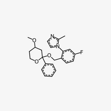 COC1CCOC(OCc2ccc(F)cc2-n2ccnc2C)(c2ccccc2)C1